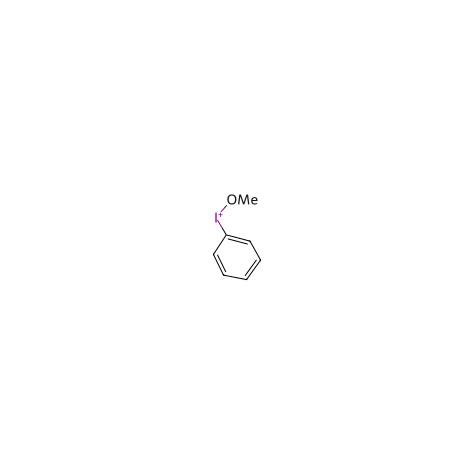 CO[I+]c1ccccc1